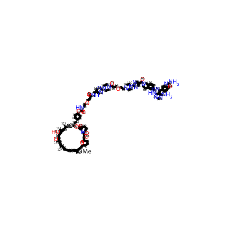 CO[C@H]1CC2CCCC(O2)C(=O)C(=O)N2CCCC[C@H]2C(=O)O[C@H](CC[C@H]2CC[C@H](OC(=O)NCCOCCC(=O)NCc3cnc(N4CCN(C(=O)CCOCCN5CCN(c6ncc(C(=O)N7CCc8cc(CNc9ncnc(N)c9C(=N)c9ccc%10oc(N)nc%10c9)ccc8C7)cn6)CC5)CC4)nc3)CC2)CC[C@H](C)/C=C(\C)[C@@H](O)CC(=O)[C@H](C)C[C@H](C)/C=C/C=C/C=C/1C